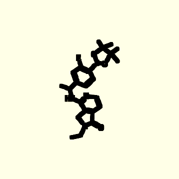 CCN1Cc2c(ccnc2NC(C)c2ccc(B3OC(C)(C)C(C)(C)O3)c(F)c2)C1=O